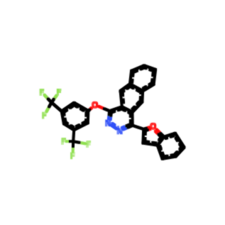 FC(F)(F)c1cc(Oc2nnc(-c3cc4ccccc4o3)c3cc4ccccc4cc23)cc(C(F)(F)F)c1